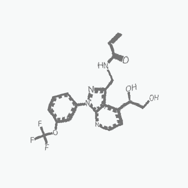 C=CC(=O)NCc1nn(-c2cccc(OC(F)(F)F)c2)c2nccc([C@@H](O)CO)c12